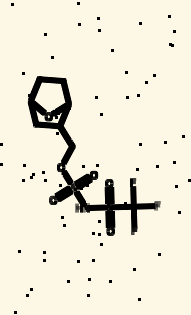 O=S(=O)(NS(=O)(=O)C(F)(F)F)OCC1CC2CCC1O2